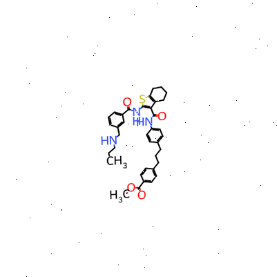 CCCNCc1cccc(C(=O)Nc2sc3c(c2C(=O)Nc2ccc(CCCc4ccc(C(=O)OC)cc4)cc2)CCCC3)c1